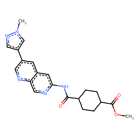 COC(=O)C1CCC(C(=O)Nc2cc3cc(-c4cnn(C)c4)cnc3cn2)CC1